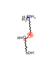 CCCCCCCCCCCCCCCCCCOC(CCOP(=O)([O-])OCCCCCCCCCC[N+](C)(C)C)OC